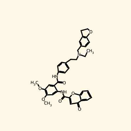 CCN(CCc1ccc(NC(=O)c2cc(OC)c(OC)cc2NC(=O)c2cc(=O)c3ccccc3o2)cc1)Cc1ccc2c(c1)CCO2